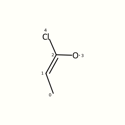 C/C=C(\[O])Cl